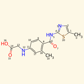 Cc1cnc(NC(=O)c2ccc(NCC(=O)O)cc2C)s1